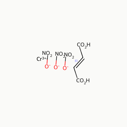 O=C(O)/C=C/C(=O)O.O=[N+]([O-])[O-].O=[N+]([O-])[O-].O=[N+]([O-])[O-].[Cr+3]